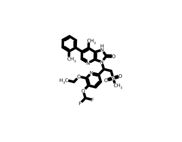 CCOc1nc(C(CS(C)(=O)=O)n2c(=O)[nH]c3c(C)c(-c4ccccc4C)cnc32)ccc1OC(F)F